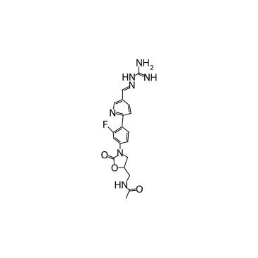 CC(=O)NCC1CN(c2ccc(-c3ccc(C=NNC(=N)N)cn3)c(F)c2)C(=O)O1